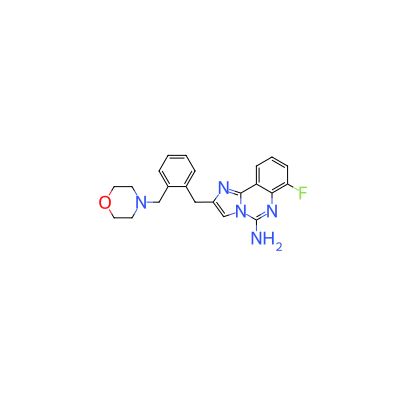 Nc1nc2c(F)cccc2c2nc(Cc3ccccc3CN3CCOCC3)cn12